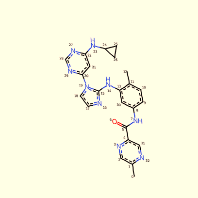 Cc1cnc(C(=O)Nc2ccc(C)c(Nc3nccn3-c3cc(NC4CC4)ncn3)c2)cn1